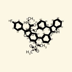 CNC(=O)c1c(-c2ccc(F)cc2)oc2cc(N(C)S(C)(=O)=O)c(-c3cccc(-c4[nH]c5ccccc5c4-c4cccc(OC)c4)c3)cc12